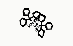 O=S(=O)(NS(=O)(=O)C(c1ccccc1)(c1ccccc1)c1ccccc1)C(c1ccccc1)(c1ccccc1)c1ccccc1